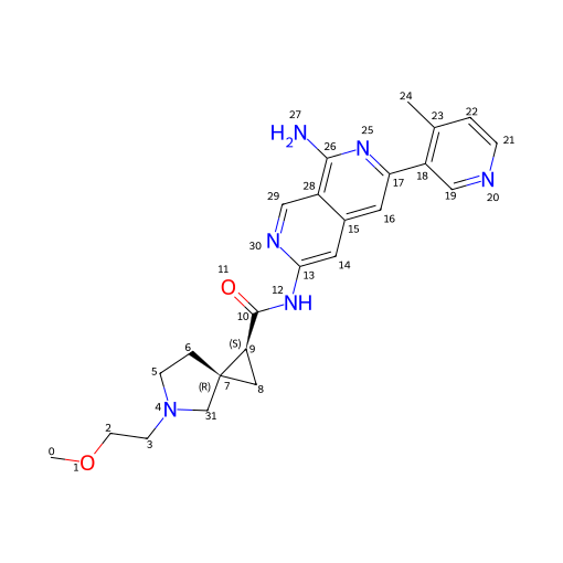 COCCN1CC[C@@]2(C[C@@H]2C(=O)Nc2cc3cc(-c4cnccc4C)nc(N)c3cn2)C1